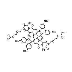 C=C(C)C(=O)OCCOCCOC(=O)C(C(C)C)N1C(=O)c2cc(Oc3ccc(C(C)(C)C)cc3)c3c4c(Oc5ccc(C(C)(C)C)cc5)cc5c6c(cc(Oc7ccc(C(C)(C)C)cc7)c(c7c(Oc8ccc(C(C)(C)C)cc8)cc(c2c37)C1=O)c64)C(=O)N(C(C(=O)OCCOCCOC(=O)CC)C(C)C)C5=O